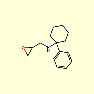 c1ccc(C2(NCC3CO3)CCCCC2)cc1